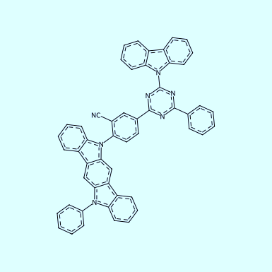 N#Cc1cc(-c2nc(-c3ccccc3)nc(-n3c4ccccc4c4ccccc43)n2)ccc1-n1c2ccccc2c2cc3c(cc21)c1ccccc1n3-c1ccccc1